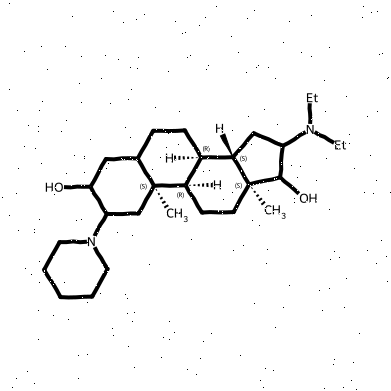 CCN(CC)C1C[C@H]2[C@@H]3CCC4CC(O)C(N5CCCCC5)C[C@]4(C)[C@@H]3CC[C@]2(C)C1O